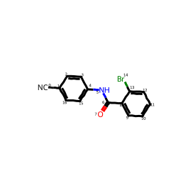 N#Cc1ccc(NC(=O)c2ccccc2Br)cc1